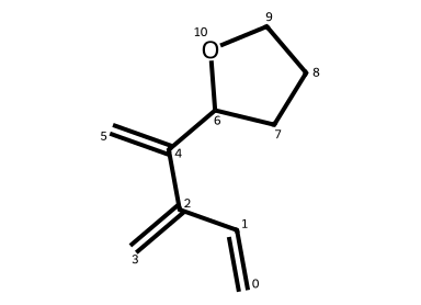 C=CC(=C)C(=C)C1CCCO1